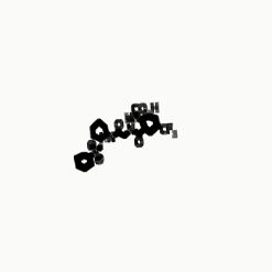 O=C(O)Nc1ccc(C(F)(F)F)cc1C(=O)NCC(=O)N[C@H]1CCCC[C@H]1CS(=O)(=O)c1ccccc1